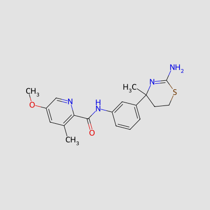 COc1cnc(C(=O)Nc2cccc(C3(C)CCSC(N)=N3)c2)c(C)c1